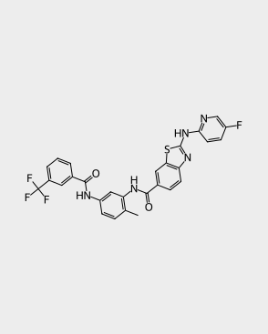 Cc1ccc(NC(=O)c2cccc(C(F)(F)F)c2)cc1NC(=O)c1ccc2nc(Nc3ccc(F)cn3)sc2c1